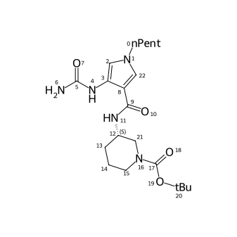 CCCCCn1cc(NC(N)=O)c(C(=O)N[C@H]2CCCN(C(=O)OC(C)(C)C)C2)c1